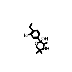 CCc1ccc(C2(O)OCC(C)(C)NC2C)cc1Br